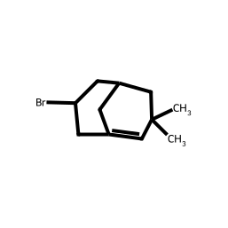 CC1(C)C=C2CC(Br)CC(C2)C1